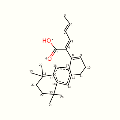 CC=CC=C(C(=O)O)C1=CCCc2cc3c(cc21)C(C)(C)CCC3(C)C